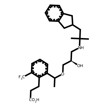 CC(OC[C@H](O)CNC(C)(C)CC1Cc2ccccc2C1)c1cccc(C(F)(F)F)c1CCC(=O)O